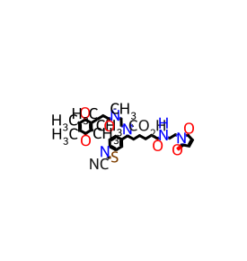 CC1=C(C)C(=O)C(C(C)(C)CC(=O)N(C)CCN(C(=O)O)C(CCCCC(=O)NCCN2C(=O)C=CC2=O)c2ccc3nc(C#N)sc3c2)=C(C)C1=O